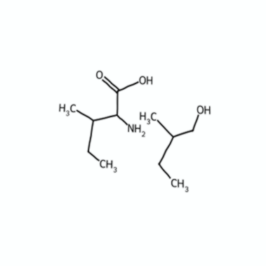 CCC(C)C(N)C(=O)O.CCC(C)CO